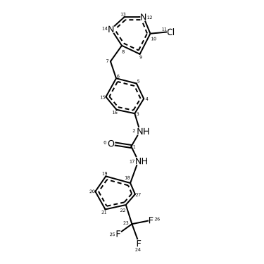 O=C(Nc1ccc(Cc2cc(Cl)ncn2)cc1)Nc1cccc(C(F)(F)F)c1